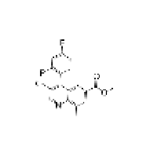 COC(=O)c1cc(C)c2ncc(Cl)c(-c3ccc(F)cc3F)c2c1